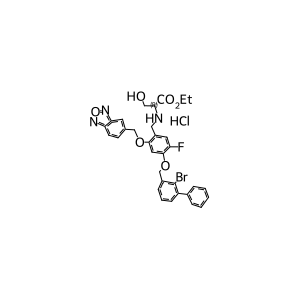 CCOC(=O)[C@@H](CO)NCc1cc(F)c(OCc2cccc(-c3ccccc3)c2Br)cc1OCc1ccc2nonc2c1.Cl